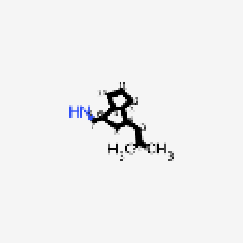 CC(C)=CC1CC(C=N)C2C=CCC12